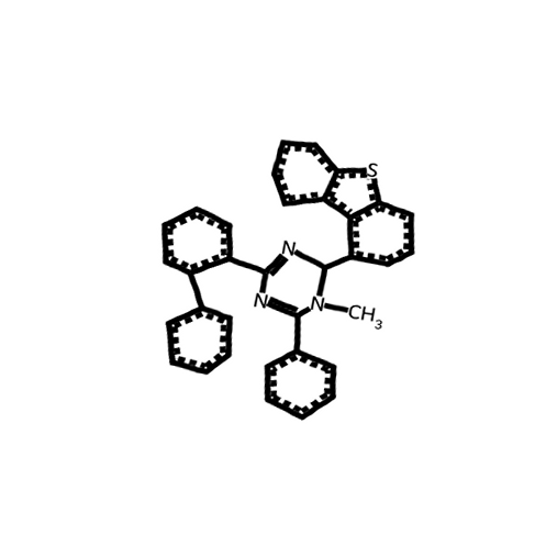 CN1C(c2ccccc2)=NC(c2ccccc2-c2ccccc2)=NC1c1cccc2sc3ccccc3c12